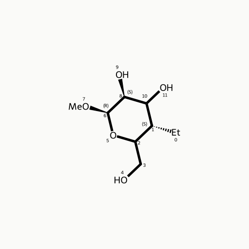 CC[C@@H]1C(CO)O[C@@H](OC)[C@@H](O)C1O